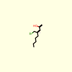 C=C(O)/C=C(\CBr)CCCCC